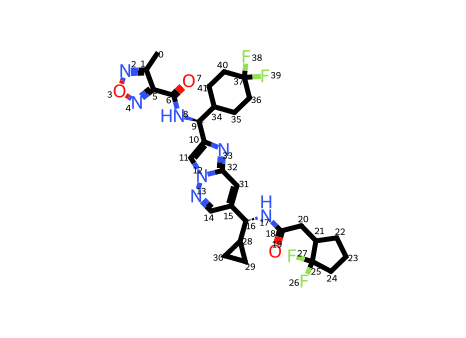 Cc1nonc1C(=O)N[C@H](c1cn2ncc([C@H](NC(=O)CC3CCCC3(F)F)C3CC3)cc2n1)C1CCC(F)(F)CC1